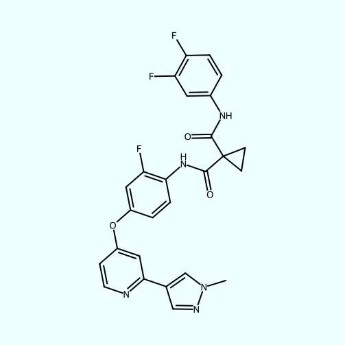 Cn1cc(-c2cc(Oc3ccc(NC(=O)C4(C(=O)Nc5ccc(F)c(F)c5)CC4)c(F)c3)ccn2)cn1